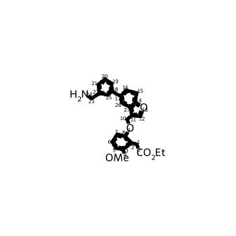 CCOC(=O)Cc1c(OC)cccc1OCc1coc2ccc(-c3cccc(CN)c3)cc12